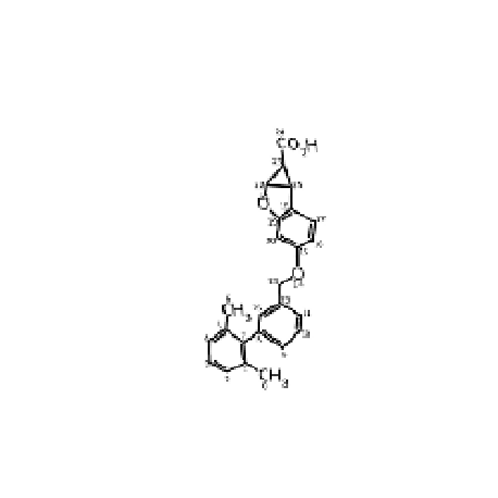 Cc1cccc(C)c1-c1cccc(COc2ccc3c(c2)OC2C(C(=O)O)C32)c1